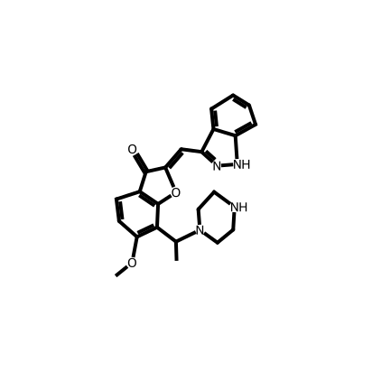 COc1ccc2c(c1C(C)N1CCNCC1)OC(=Cc1n[nH]c3ccccc13)C2=O